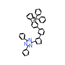 c1ccc(-c2nc(-c3ccccc3)nc(-c3cccc(-c4cccc(-c5ccc6c(c5)[Si](c5ccccc5)(c5ccccc5)c5ccccc5-6)c4)c3)n2)cc1